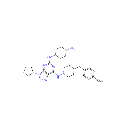 COc1ccc(CC2CCN(Nc3nc(NC4CCC(N)CC4)nc4c3ncn4C3CCCC3)CC2)cc1